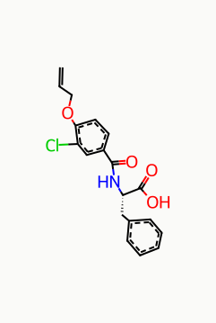 C=CCOc1ccc(C(=O)N[C@@H](Cc2ccccc2)C(=O)O)cc1Cl